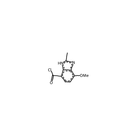 COc1ccc(C(=O)Cl)c2[nH]c(C)nc12